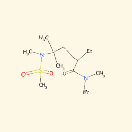 CCC(CC(C)(C)N(C)S(C)(=O)=O)C(=O)N(C)C(C)C